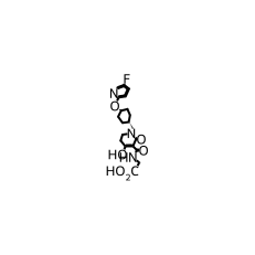 O=C(O)CNC(=O)C1=C(O)CCN(C[C@H]2CC[C@@H](Oc3ccc(F)cn3)CC2)C1=O